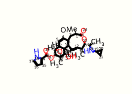 CO[C@H]1CC2C=C[C@H]3[C@H]4O[C@]2(/C(C)=C/[C@@H](C)[C@@H](C(C)NC2CC2)OC1=O)[C@@H]3[C@H](O)[C@@H](C)[C@H]4OC(=O)c1ccc[nH]1